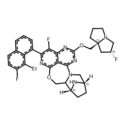 CCc1c(F)ccc2cccc(-c3nc4c5c(nc(OC[C@@]67CCCN6C[C@H](F)C7)nc5c3F)N3C[C@@H]5CC[C@@H](N5)C3CO4)c12